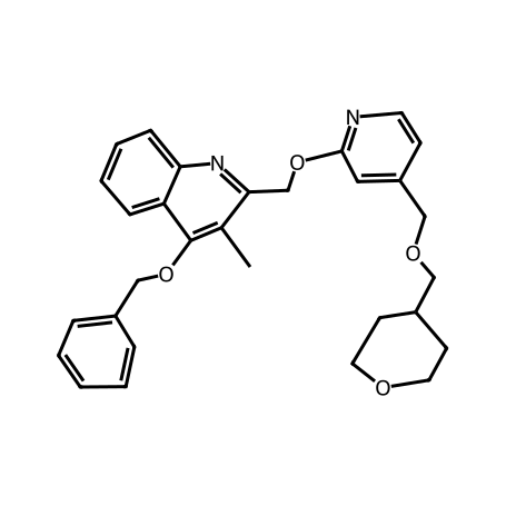 Cc1c(COc2cc(COCC3CCOCC3)ccn2)nc2ccccc2c1OCc1ccccc1